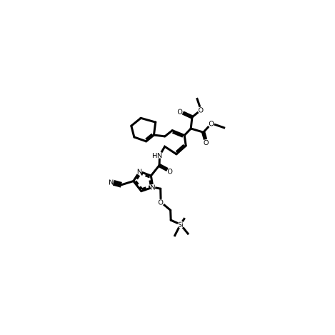 COC(=O)C(C(=O)OC)C(/C=C\CNC(=O)c1nc(C#N)cn1COCC[Si](C)(C)C)=C/CC1=CCCCC1